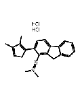 CC1=CCC(c2ccc3c([c]2[Zr]=[Si](C)C)Cc2ccccc2-3)=C1C.Cl.Cl